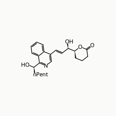 CCCCC[C@@H](O)c1ncc(/C=C/[C@@H](O)[C@@H]2CCCC(=O)O2)c2ccccc12